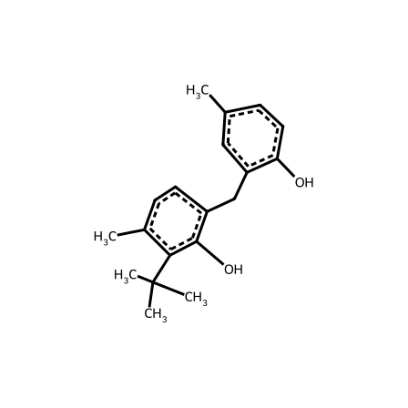 Cc1ccc(O)c(Cc2ccc(C)c(C(C)(C)C)c2O)c1